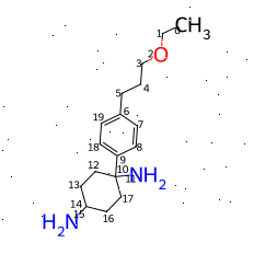 CCOCCCc1ccc(C2(N)CCC(N)CC2)cc1